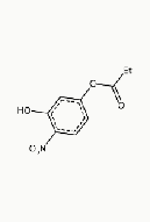 CCC(=O)Oc1ccc([N+](=O)[O-])c(O)c1